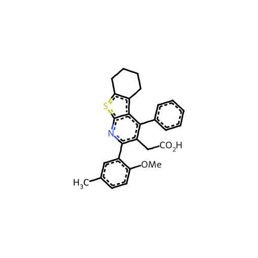 COc1ccc(C)cc1-c1nc2sc3c(c2c(-c2ccccc2)c1CC(=O)O)CCCC3